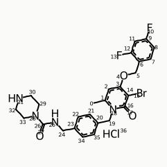 Cc1cc(OCc2ccc(F)cc2F)c(Br)c(=O)n1Cc1ccc(CNC(=O)N2CCNCC2)cc1.Cl